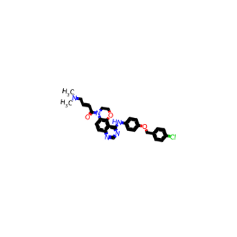 CN(C)C/C=C/C(=O)N1CCOc2c1ccc1ncnc(Nc3ccc(OCc4ccc(Cl)cc4)cc3)c21